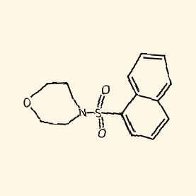 O=S(=O)(c1cccc2ccccc12)N1CCOCC1